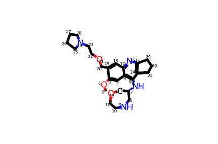 COc1cc2c(N[C@H]3CNCCOC3)c3c(nc2cc1COCCN1CCCC1)CCC3